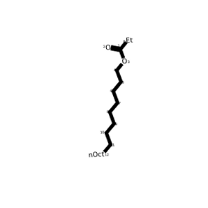 [CH2]CC(=O)OCCCCCCCCCCCCCCCC